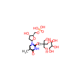 CCC(CO)(CO)CO.Cc1cn([C@H]2C[C@H](O)[C@@H](COP(=O)(O)O)O2)c(=O)[nH]c1=O.OCC(O)CO